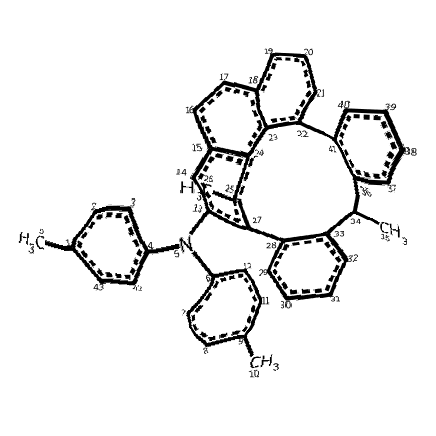 Cc1ccc(N(c2ccc(C)cc2)c2cc3ccc4cccc5c4c3c(C)c2-c2ccccc2C(C)c2ccccc2-5)cc1